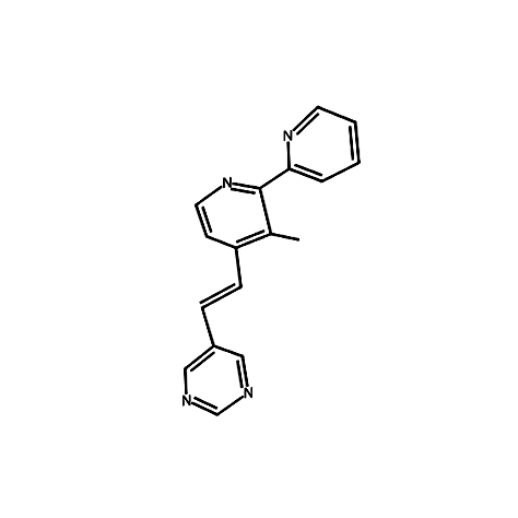 Cc1c(C=Cc2cncnc2)ccnc1-c1ccccn1